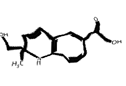 CC1(CO)C=Cc2cc(C(=O)O)ccc2N1